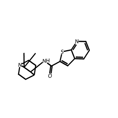 CC1(C)C(NC(=O)c2cc3cccnc3s2)C2CCN1CC2